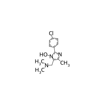 Cc1nc(-c2ccc(Cl)cc2)n(O)c1CN(C)C